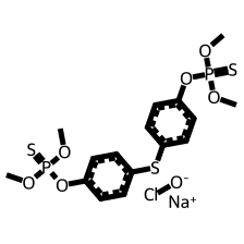 COP(=S)(OC)Oc1ccc(Sc2ccc(OP(=S)(OC)OC)cc2)cc1.[Na+].[O-]Cl